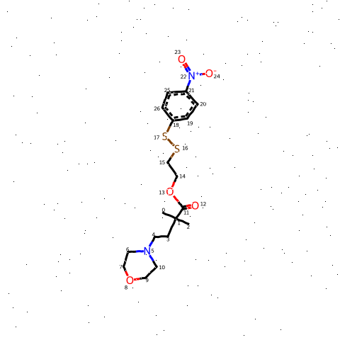 CC(C)(CCN1CCOCC1)C(=O)OCCSSc1ccc([N+](=O)[O-])cc1